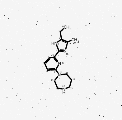 CCc1[nH]c(-c2cccc(N3CCCNCC3)n2)nc1C